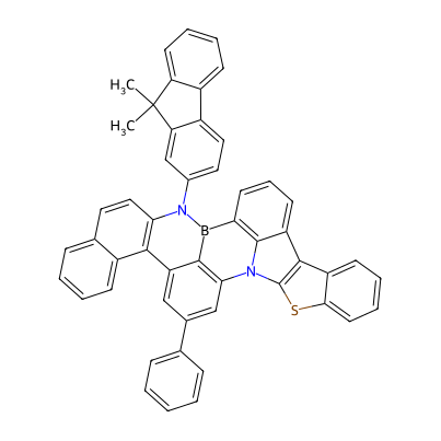 CC1(C)c2ccccc2-c2ccc(N3B4c5c(cc(-c6ccccc6)cc5-n5c6sc7ccccc7c6c6cccc4c65)-c4c3ccc3ccccc43)cc21